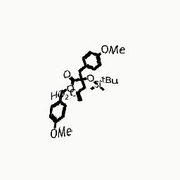 C=C(CC(Cc1ccc(OC)cc1)(O[Si](C)(C)C(C)(C)C)C(=O)OCc1ccc(OC)cc1)C(=O)O